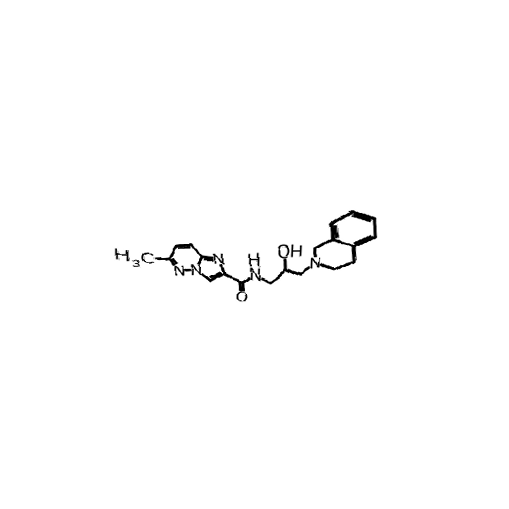 Cc1ccc2nc(C(=O)NCC(O)CN3CCc4ccccc4C3)cn2n1